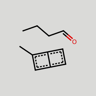 CCCC=O.Cc1cc2ccc1-2